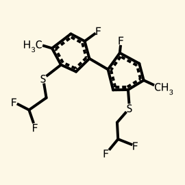 Cc1cc(F)c(-c2cc(SCC(F)F)c(C)cc2F)cc1SCC(F)F